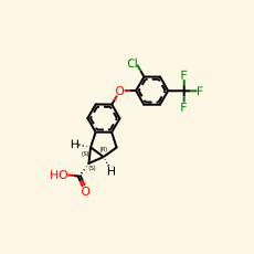 O=C(O)[C@H]1[C@@H]2Cc3cc(Oc4ccc(C(F)(F)F)cc4Cl)ccc3[C@@H]21